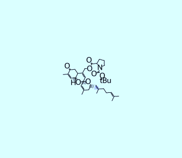 CC(C)=CCC/C(C)=C/[C@@H]1CC(C)=C[C@]2(C=C(COC(=O)C3CCCN3C(=O)OC(C)(C)C)C3CC(=O)C(C)=C[C@H]3O2)O1